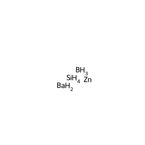 B.[BaH2].[SiH4].[Zn]